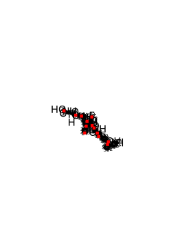 O=C(O)NCCNC(=O)OCCN1CCC[C@H]1CC(CSc1ccccc1)Nc1ccc(S(=O)(=O)NC(=O)c2ccc(N3CCC(C(O)c4ccccc4-c4ccc(Cl)cc4)CC3)cc2)cc1S(=O)(=O)C(F)(F)F